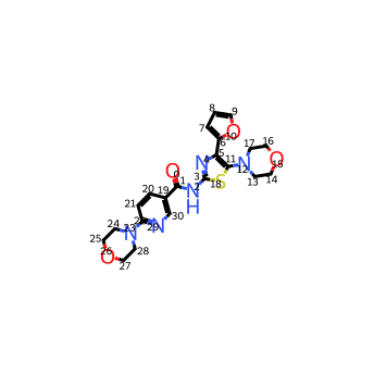 O=C(Nc1nc(-c2ccco2)c(N2CCOCC2)s1)c1ccc(N2CCOCC2)nc1